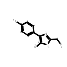 FCc1nc(-c2ccc(F)cc2)c(Br)s1